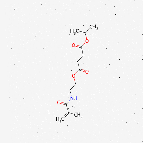 C=C(C)C(=O)NCCOC(=O)CCC(=O)OC(C)C